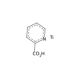 O=C(O)c1ccccn1.[Ti]